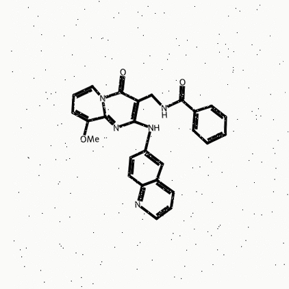 COc1cccn2c(=O)c(CNC(=O)c3ccccc3)c(Nc3ccc4ncccc4c3)nc12